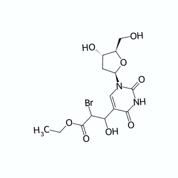 CCOC(=O)C(Br)C(O)c1cn([C@H]2C[C@H](O)[C@@H](CO)O2)c(=O)[nH]c1=O